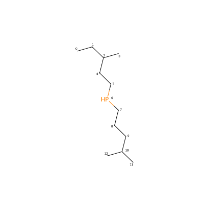 CCC(C)CCPCCCC(C)C